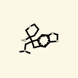 CN(C)CC1(C2(O)CCCCC2)Cc2cc3c(cc21)OCO3